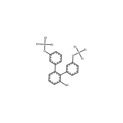 CC[Si](CC)(CC)Oc1cccc(-c2cccc(S)c2-c2cccc(O[Si](CC)(CC)CC)c2)c1